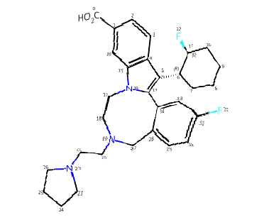 O=C(O)c1ccc2c([C@H]3CCCC[C@@H]3F)c3n(c2c1)CCN(CCN1CCCC1)Cc1ccc(F)cc1-3